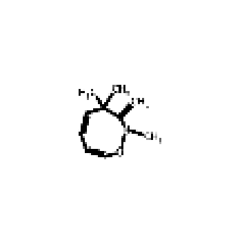 C=C1N(C)O/C=C\C=C/C1(C)C